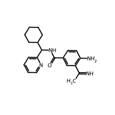 CC(=N)c1cc(C(=O)NC(c2ccccn2)C2CCCCC2)ccc1N